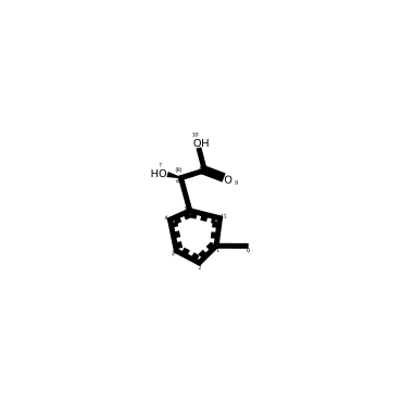 Cc1cccc([C@@H](O)C(=O)O)c1